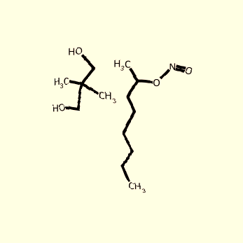 CC(C)(CO)CO.CCCCCCC(C)ON=O